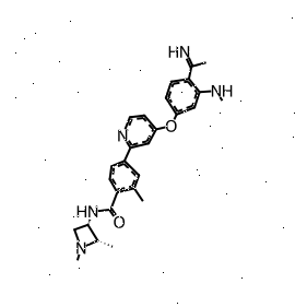 CNc1cc(Oc2ccnc(-c3ccc(C(=O)N[C@H]4CN(C)[C@H]4C)c(C)c3)c2)ccc1C(C)=N